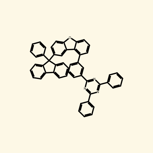 c1ccc(-c2nc(-c3ccccc3)nc(-c3cccc(-c4cccc5oc6ccc(C7(c8ccccc8)c8ccccc8-c8ccccc87)cc6c45)c3)n2)cc1